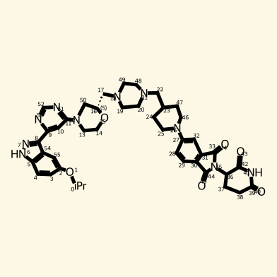 CC(C)Oc1ccc2[nH]nc(-c3cc(N4CCO[C@@H](CN5CCN(CC6CCN(c7ccc8c(c7)C(=O)N(C7CCC(=O)NC7=O)C8=O)CC6)CC5)C4)ncn3)c2c1